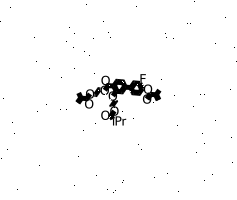 C=C(C)C(=O)OCCOC(=O)c1ccc(-c2ccc(OC(=O)C(=C)C)c(F)c2)cc1OCCOC(=O)C(C)C